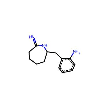 N=C1CCCCC(Cc2ccccc2N)N1